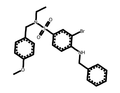 CCN(Cc1ccc(OC)cc1)S(=O)(=O)c1ccc(NCc2ccccc2)c(Br)c1